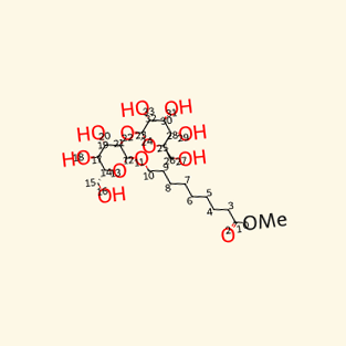 COC(=O)CCCCCCCCO[C@H]1O[C@H](CO)[C@@H](O)[C@H](O)[C@H]1O[C@@H]1O[C@H](CO)[C@@H](O)[C@H](O)[C@H]1O